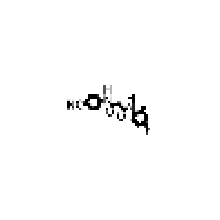 Cc1cc(F)ccc1NC(=O)CC(=O)Nc1ccc(C#N)cc1